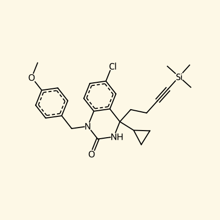 COc1ccc(CN2C(=O)NC(CCC#C[Si](C)(C)C)(C3CC3)c3cc(Cl)ccc32)cc1